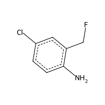 Nc1ccc(Cl)cc1CF